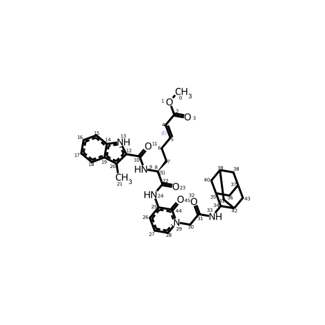 COC(=O)/C=C/CC[C@H](NC(=O)c1[nH]c2ccccc2c1C)C(=O)Nc1cccn(CC(=O)NC2C3CC4CC(C3)CC2C4)c1=O